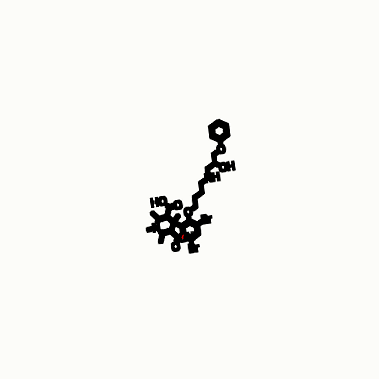 CC1=C(C(=O)O)C(C)(c2cc(Br)cc(Br)c2OCCCCNCC(O)COc2ccccc2)C(C(=O)O)=C(C)N1C